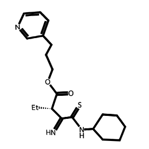 CC[C@@H](C(=N)C(=S)NC1CCCCC1)C(=O)OCCCc1cccnc1